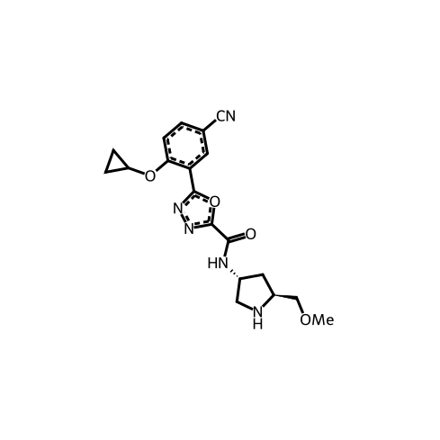 COC[C@@H]1C[C@@H](NC(=O)c2nnc(-c3cc(C#N)ccc3OC3CC3)o2)CN1